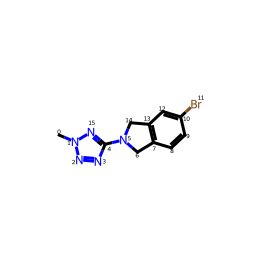 Cn1nnc(N2Cc3ccc(Br)cc3C2)n1